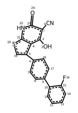 N#Cc1c(O)c2c(-c3ccc(-c4ccccc4F)cc3)csc2[nH]c1=O